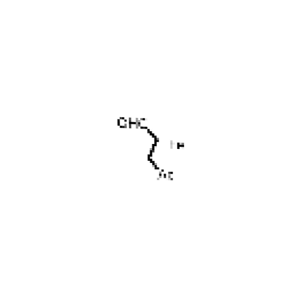 CC(=O)CCC=O.[Fe]